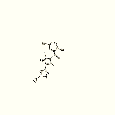 Cc1[nH]c(-c2nnc(C3CC3)o2)c(C)c1C(=O)c1cc(Br)ccc1O